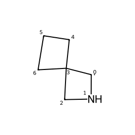 [CH]1NCC12CCC2